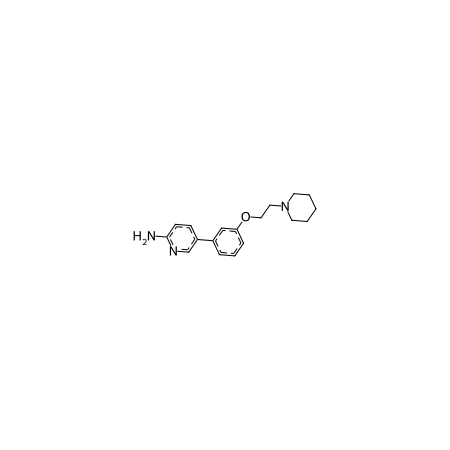 Nc1ccc(-c2cccc(OCCN3CCCCC3)c2)cn1